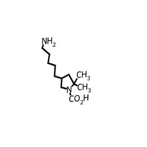 CC1(C)CC(CCCCCN)CN1C(=O)O